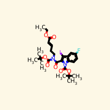 CCOC(=O)C=CCCN(C(=O)OC(C)(C)C)C(=O)c1c(I)c2cc(F)ccc2n1C(=O)OC(C)(C)C